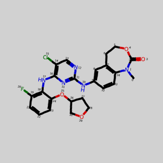 CN1C(=O)OCCc2cc(Nc3ncc(Cl)c(Nc4c(F)cccc4OC4CCOC4)n3)ccc21